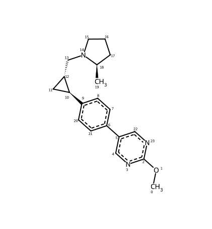 COc1ncc(-c2ccc([C@H]3C[C@@H]3CN3CCC[C@H]3C)cc2)cn1